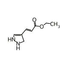 CCOC(=O)/C=C/C1=CNNC1